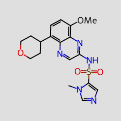 COc1ccc(C2CCOCC2)c2ncc(NS(=O)(=O)c3cncn3C)nc12